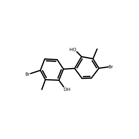 Cc1c(Br)ccc(-c2ccc(Br)c(C)c2O)c1O